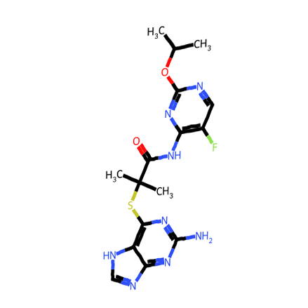 CC(C)Oc1ncc(F)c(NC(=O)C(C)(C)Sc2nc(N)nc3nc[nH]c23)n1